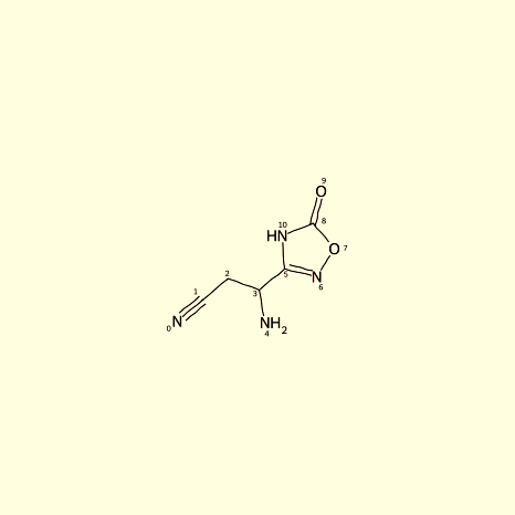 N#CCC(N)c1noc(=O)[nH]1